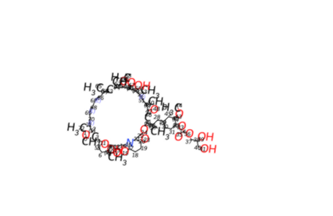 CO[C@H]1CC2CC[C@@H](C)[C@@](O)(O2)C(=O)C(=O)N2CCCCC2C(=O)O[C@H]([C@H](C)C[C@@H]2CC[C@@H](OC(=O)OCC(O)CO)[C@H](OC)C2)CC(=O)[C@H](C)/C=C(\C)[C@@H](O)[C@@H](OC)C(=O)[C@H](C)C[C@H](C)/C=C/C=C/C=C/1C